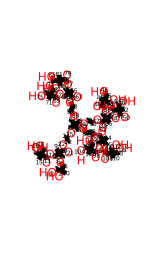 CC(O)(CO)COCC(C)(COC(=O)C(C)(CO)CO)C(=O)OCCOCC(COCCOC(=O)C(C)(COC(=O)C(C)(CO)CO)COC(=O)C(C)(CO)CO)(COCCOC(=O)C(C)(COC(=O)C(C)(CO)CO)COC(=O)C(C)(CO)CO)COCCOC(=O)C(C)(COC(=O)C(C)(CO)CO)COC(=O)C(C)(CO)CO